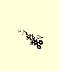 Cc1c2c(c(C)c(-c3ccccc3)c1-c1ccccc1)C(=O)N(CCC(=O)NCCN)C2=O.Cl